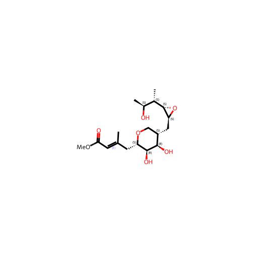 COC(=O)/C=C(\C)C[C@@H]1OC[C@H](C[C@@H]2O[C@H]2[C@@H](C)[C@H](C)O)[C@@H](O)[C@H]1O